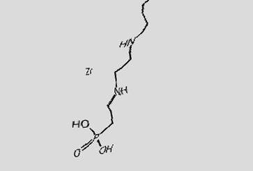 NCCNCCNCCP(=O)(O)O.[Zr]